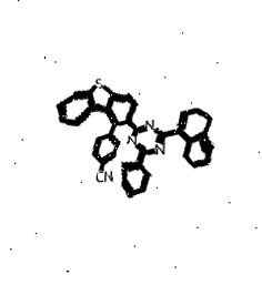 N#Cc1ccc(-c2c(-c3nc(-c4ccccc4)nc(-c4cccc5ccccc45)n3)ccc3sc4ccccc4c23)cc1